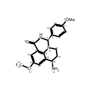 COc1ccc([C@@H]2NC(=O)c3cc(OC(F)(F)F)cc4c3N2CC[C@H]4N)cc1